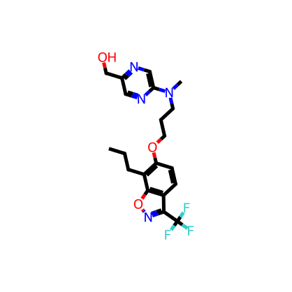 CCCc1c(OCCCN(C)c2cnc(CO)cn2)ccc2c(C(F)(F)F)noc12